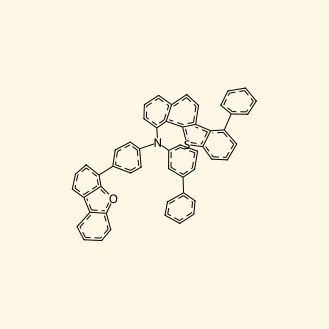 c1ccc(-c2cccc(N(c3ccc(-c4cccc5c4oc4ccccc45)cc3)c3cccc4ccc5c(sc6cccc(-c7ccccc7)c65)c34)c2)cc1